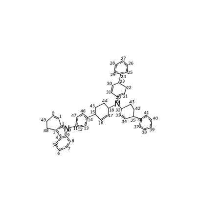 C1=Cc2c(c3ccccc3n2-c2ccc(C3C=CC(N(C4=CCC(c5ccccc5)C=C4)C4C=CC(c5ccccc5)CC4)CC3)cc2)CC1